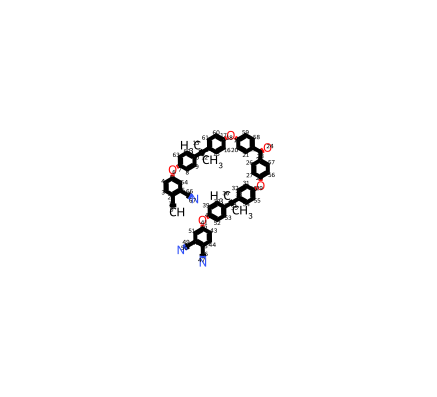 C#Cc1ccc(Oc2ccc(C(C)(C)c3ccc(Oc4ccc(C(=O)c5ccc(Oc6ccc(C(C)(C)c7ccc(Oc8ccc(C#N)c(C#N)c8)cc7)cc6)cc5)cc4)cc3)cc2)cc1C#N